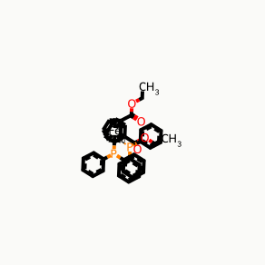 CCOC(=O)[C]12[CH]3[CH]4[CH]5[C]1(P(c1ccccc1)c1ccccc1)[Fe]43521678[CH]2[CH]1[C]6(C(=O)OCC)[C@@]7(P(c1ccccc1)c1ccccc1)[CH]28